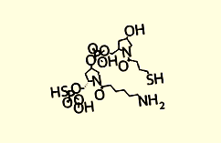 NCCCCCC(=O)N1C[C@H](OP(=O)(O)OCC2C[C@@H](O)CN2C(=O)CCCS)C[C@H]1COP(=O)(S)OO